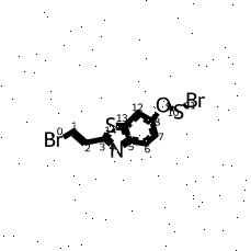 BrC=Cc1nc2ccc(OSBr)cc2s1